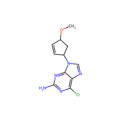 COC1C=CC(n2cnc3c(Cl)nc(N)nc32)C1